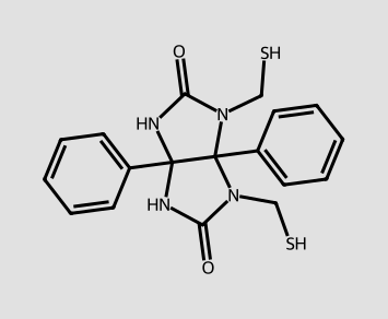 O=C1NC2(c3ccccc3)NC(=O)N(CS)C2(c2ccccc2)N1CS